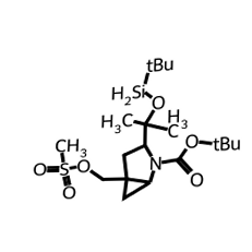 CC(C)(C)OC(=O)N1C2CC2(COS(C)(=O)=O)CC1C(C)(C)O[SiH2]C(C)(C)C